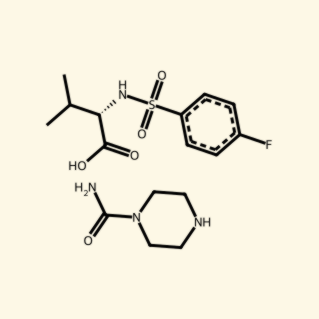 CC(C)[C@H](NS(=O)(=O)c1ccc(F)cc1)C(=O)O.NC(=O)N1CCNCC1